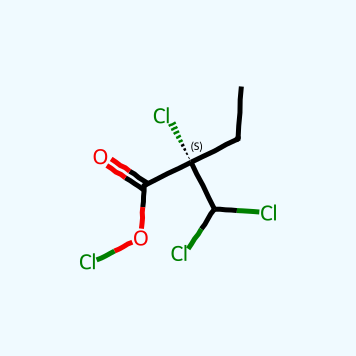 CC[C@](Cl)(C(=O)OCl)C(Cl)Cl